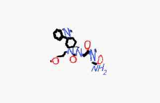 COCCCN1C(=O)N(CC(=O)N(C)CC(N)=O)C[C@]12CC[C@@](c1ccccc1)(N(C)C)CC2